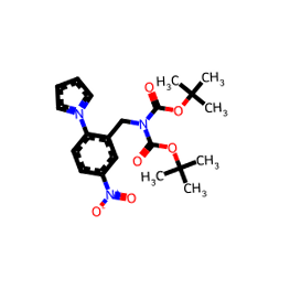 CC(C)(C)OC(=O)N(Cc1cc([N+](=O)[O-])ccc1-n1cccc1)C(=O)OC(C)(C)C